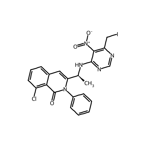 C[C@H](Nc1ncnc(CI)c1[N+](=O)[O-])c1cc2cccc(Cl)c2c(=O)n1-c1ccccc1